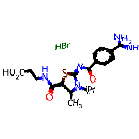 Br.CC(C)N1C(=NC(=O)c2ccc(C(=N)N)cc2)SC(C(=O)NCCC(=O)O)C1C